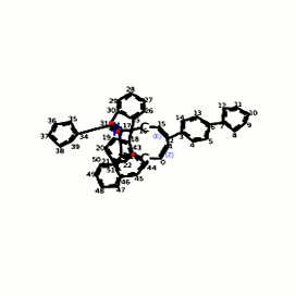 C1=C\C(c2ccc(-c3ccccc3)cc2)=C/CC2(c3ccccc3C/1)c1ccccc1-c1nc(-c3ccccc3)nc(-c3cccc4ccccc34)c12